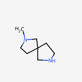 [CH2]N1CCC2(CCNC2)C1